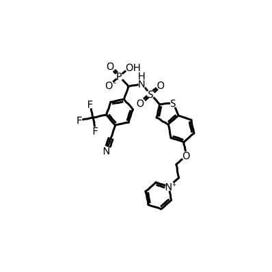 N#Cc1ccc(C(NS(=O)(=O)c2cc3cc(OCC[n+]4ccccc4)ccc3s2)P(=O)([O-])O)cc1C(F)(F)F